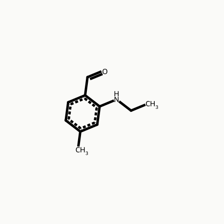 CCNc1cc(C)ccc1C=O